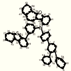 c1ccc(-c2ccc(-c3ccc(N(c4cccc(-c5cccc6c5sc5ccccc56)c4)c4cccc5oc6c7ccccc7ccc6c45)cc3)cc2-c2ccccc2)cc1